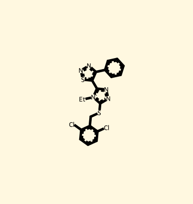 CCn1c(SCc2c(Cl)cccc2Cl)nnc1-c1snnc1-c1ccccc1